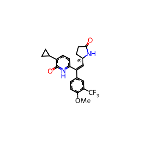 COc1ccc(C(=C[C@H]2CCC(=O)N2)c2ccc(C3CC3)c(=O)[nH]2)cc1C(F)(F)F